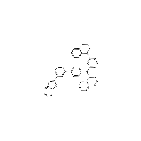 c1cc(-c2ccc(N(c3cccc(-c4cccc5ccccc45)c3)c3cccc4ccccc34)cc2)cc(-c2cc3ccccc3o2)c1